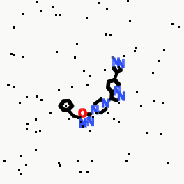 Cn1cc(-c2ccc3c(N4CCN(c5nnc(Cc6ccccc6)o5)CC4)cnn3c2)cn1